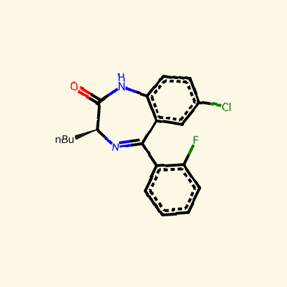 CCCC[C@@H]1N=C(c2ccccc2F)c2cc(Cl)ccc2NC1=O